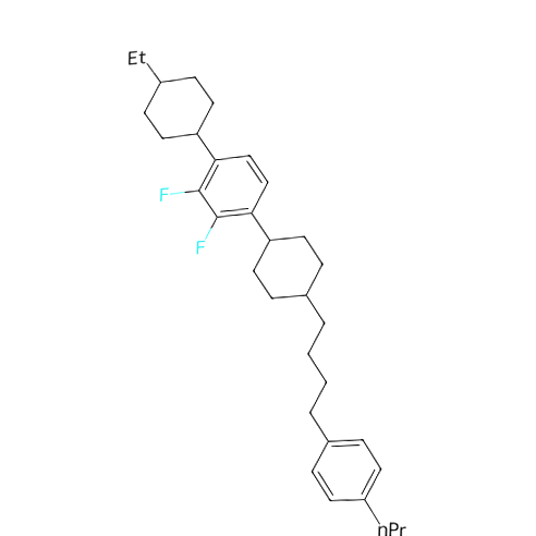 [CH2+][CH-]Cc1ccc(CCCCC2CCC(c3ccc(C4CCC(CC)CC4)c(F)c3F)CC2)cc1